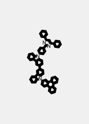 c1ccc(-c2cc(-c3ccccc3)nc(-c3ccc(-n4c5ccccc5c5cc(-c6ccc7c(c6)c6ccccc6n7-c6ccc7c8ccccc8c8ccccc8c7c6)ccc54)cc3)n2)cc1